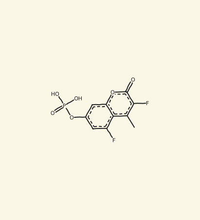 Cc1c(F)c(=O)oc2cc(OP(=O)(O)O)cc(F)c12